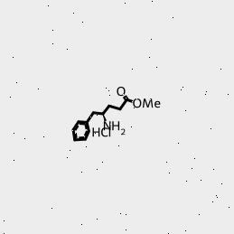 COC(=O)CC[C@@H](N)Cc1ccccc1.Cl